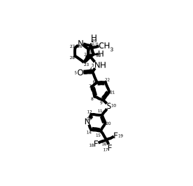 C[C@H]1[C@H](NC(=O)c2ccc(Sc3cncc(C(F)(F)F)c3)cc2)C2CCN1CC2